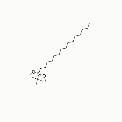 CCCCCCCCCCCCCCC[Si](OC)(OC)C(C)(C)C